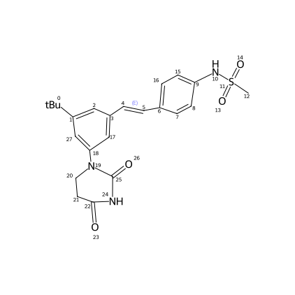 CC(C)(C)c1cc(/C=C/c2ccc(NS(C)(=O)=O)cc2)cc(N2CCC(=O)NC2=O)c1